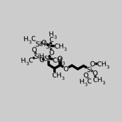 CO[Si](CCCOC(=O)C(C)C[Si]1(C)O[SiH](C)O[SiH](C)O[Si](C)(C)O1)(OC)OC